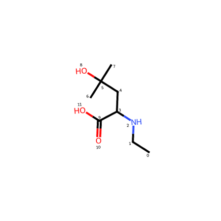 CCNC(CC(C)(C)O)C(=O)O